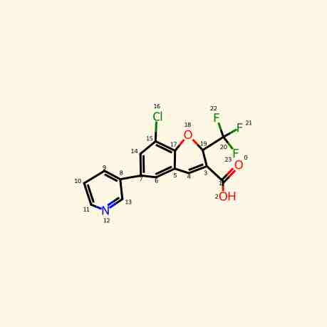 O=C(O)C1=Cc2cc(-c3cccnc3)cc(Cl)c2OC1C(F)(F)F